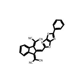 N#CC(C#N)=C1C(=Cc2nc3oc(-c4ccccc4)nc3o2)C(=C(C#N)C#N)c2ccccc21